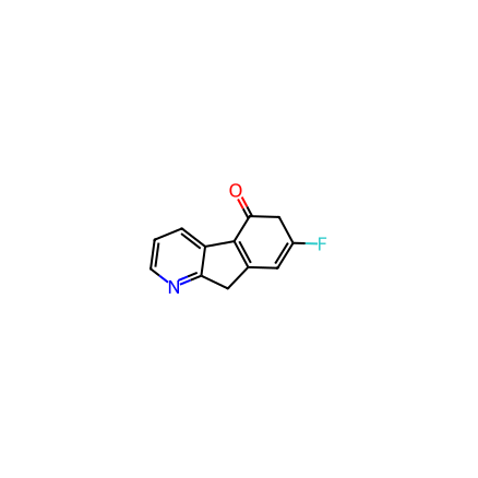 O=C1CC(F)=CC2=C1c1cccnc1C2